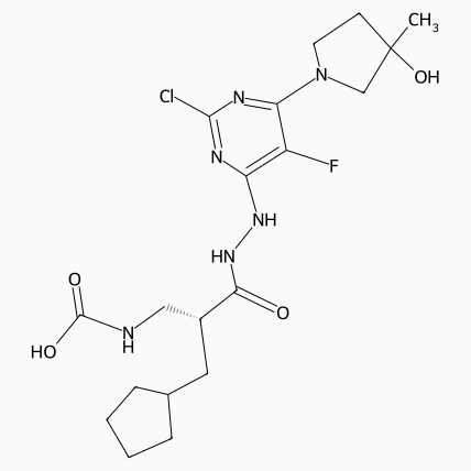 CC1(O)CCN(c2nc(Cl)nc(NNC(=O)[C@@H](CNC(=O)O)CC3CCCC3)c2F)C1